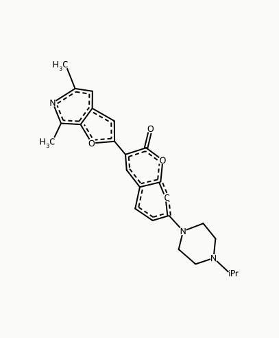 Cc1cc2cc(-c3cc4ccc(N5CCN(C(C)C)CC5)cc4oc3=O)oc2c(C)n1